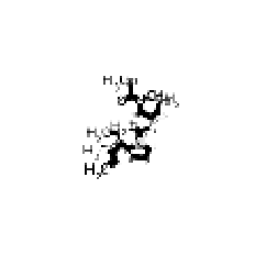 C=CC(C)[C@@H](CC)[C@@H]1CCCN1C(=C)C[C@@H](CC)CN(C)C(=O)CC